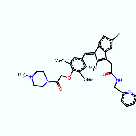 COc1cc(C=C2C(C)=C(CC(=O)NCc3ccccn3)c3cc(F)ccc32)cc(OC)c1OCC(=O)N1CCN(C)CC1